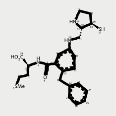 CSCC[C@H](NC(=O)c1cc(NC[C@@H]2NCC[C@H]2S)ccc1Cc1ccccc1)C(=O)O